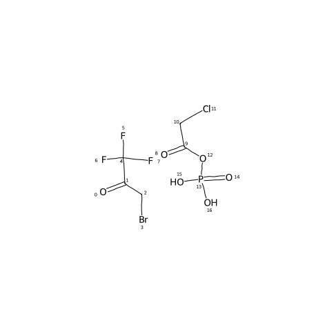 O=C(CBr)C(F)(F)F.O=C(CCl)OP(=O)(O)O